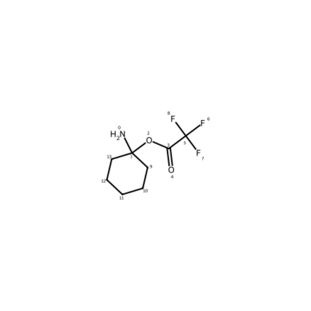 NC1(OC(=O)C(F)(F)F)CCCCC1